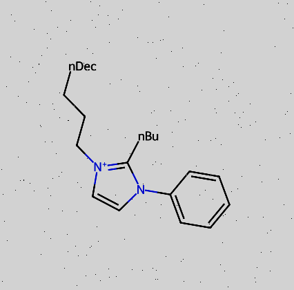 CCCCCCCCCCCCC[n+]1ccn(-c2ccccc2)c1CCCC